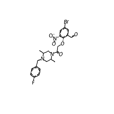 CC1CN(C(=O)COc2c(C=O)cc(Br)cc2[N+](=O)[O-])C(C)CN1Cc1ccc(F)cc1